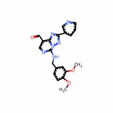 COc1ccc(CNc2ncc(C=O)c3nc(-c4cccnc4)nn23)cc1OC